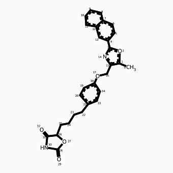 Cc1oc(-c2ccc3ccccc3c2)nc1COc1ccc(CCCCC2OC(=O)NC2=O)cc1